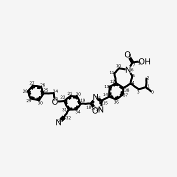 CC(C)CC1CN(C(=O)O)CCc2cc(-c3noc(-c4ccc(OCc5ccccc5)c(C#N)c4)n3)ccc21